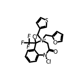 O=C1C[N+](Cc2ccsc2)(Cc2ccco2)C(Cl)(C(F)(F)F)c2ccccc2N1Cl